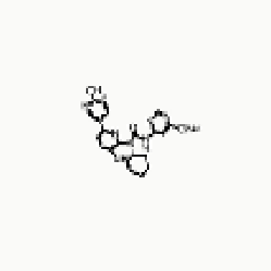 COc1cc(NC(=O)N(c2nc(-c3ccc(C)nc3)ccc2N)C2CCCCC2)ncn1